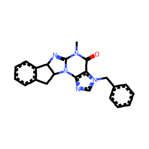 CN1C(=O)c2c(ncn2Cc2ccccc2)N2C1=NC1c3ccccc3CC12